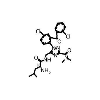 CC(C)C[C@H](N)C(=O)NCc1nc(C(=O)N(C)C)nn1-c1ccc(Cl)cc1C(=O)c1ccccc1Cl